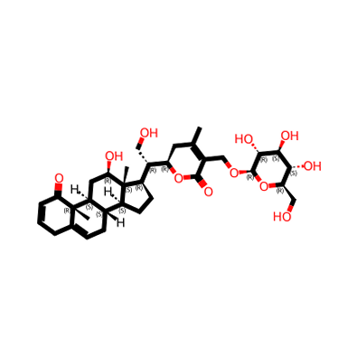 CC1=C(CO[C@@H]2O[C@H](CO)[C@@H](O)[C@H](O)[C@H]2O)C(=O)O[C@@H]([C@@H](CO)[C@H]2CC[C@H]3[C@@H]4CC=C5CC=CC(=O)[C@]5(C)[C@H]4C[C@@H](O)[C@]23C)C1